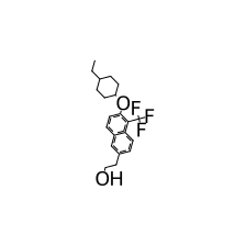 CCC1CCC(Oc2ccc3cc(CCO)ccc3c2C(F)(F)F)CC1